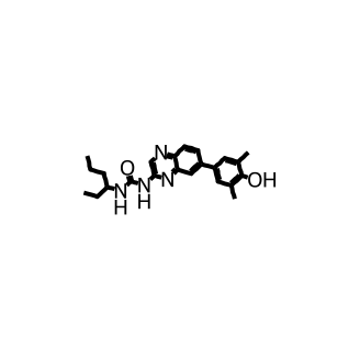 CCCC(CC)NC(=O)Nc1cnc2ccc(-c3cc(C)c(O)c(C)c3)cc2n1